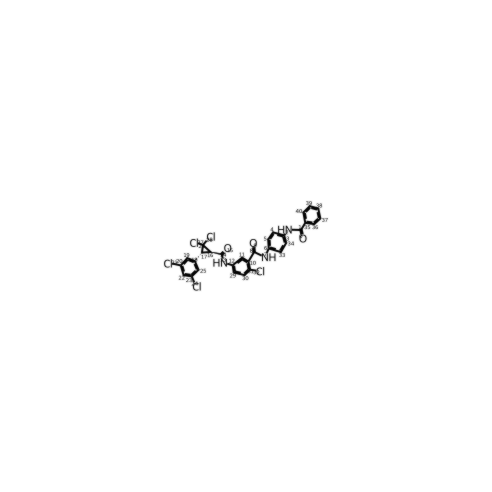 O=C(Nc1ccc(NC(=O)c2cc(NC(=O)[C@H]3[C@H](c4cc(Cl)cc(Cl)c4)C3(Cl)Cl)ccc2Cl)cc1)c1ccccc1